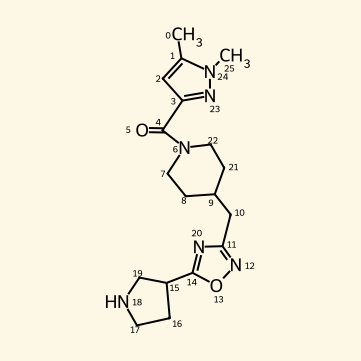 Cc1cc(C(=O)N2CCC(Cc3noc(C4CCNC4)n3)CC2)nn1C